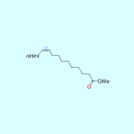 CCCCCC/C=C\CCCCCCCCC(=O)OC